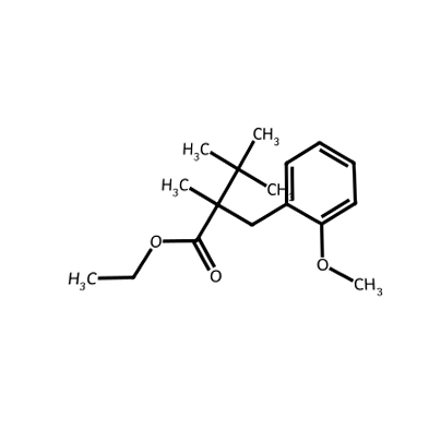 CCOC(=O)C(C)(Cc1ccccc1OC)C(C)(C)C